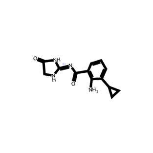 Nc1c(C(=O)/N=C2\NCC(=O)N2)cccc1C1CC1